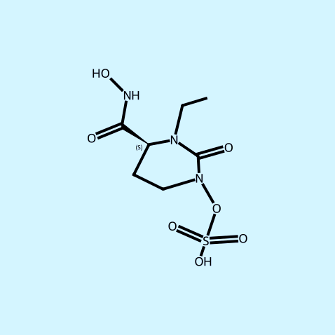 CCN1C(=O)N(OS(=O)(=O)O)CC[C@H]1C(=O)NO